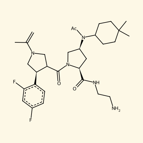 C=C(C)N1CC(C(=O)N2C[C@@H](N(C(C)=O)C3CCC(C)(C)CC3)C[C@H]2C(=O)NCCN)[C@@H](c2ccc(F)cc2F)C1